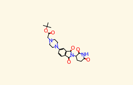 CC(C)(C)OC(=O)CN1CCN(c2ccc3c(c2)C(=O)N(C2CCC(=O)NC2=O)C3=O)CC1